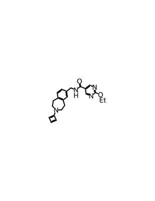 CCOc1ncc(C(=O)NCc2ccc3c(c2)CCN(C2=CC=C2)CC3)cn1